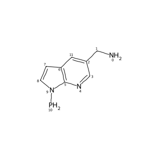 NCc1cnc2c(ccn2P)c1